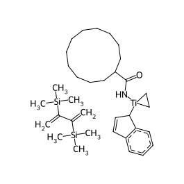 C=C(C(=C)[Si](C)(C)C)[Si](C)(C)C.O=C([NH][Ti]1([CH]2C=Cc3ccccc32)[CH2][CH2]1)C1CCCCCCCCCCC1